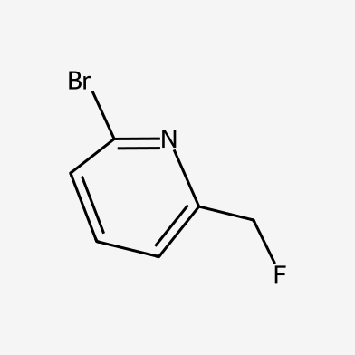 FCc1cccc(Br)n1